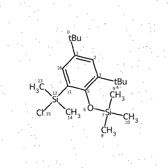 CC(C)(C)c1cc(C(C)(C)C)c(O[Si](C)(C)C)c([Si](C)(C)Cl)c1